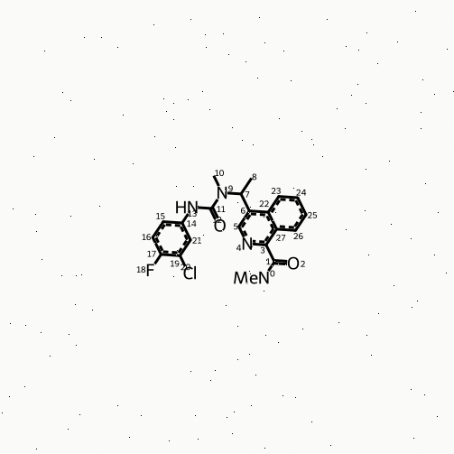 CNC(=O)c1ncc(C(C)N(C)C(=O)Nc2ccc(F)c(Cl)c2)c2ccccc12